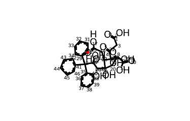 O=C(O)CC(=O)[C@@](O)(CC(=O)O)[C@](O)(CC(=O)O)[C@@](O)(CC(=O)O)[C@H](O)C(O)C(c1ccccc1)(c1ccccc1)c1ccccc1